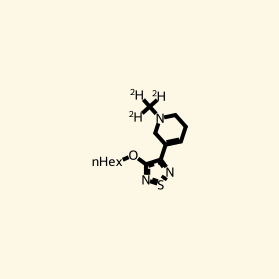 [2H]C([2H])([2H])N1CCC=C(c2nsnc2OCCCCCC)C1